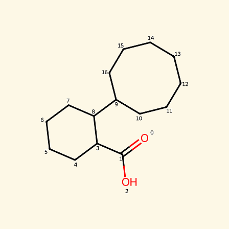 O=C(O)C1CCCCC1C1CCCCCCC1